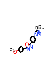 CCCCc1cn(-c2ccc(-c3nnc(-c4ccc(OC(C)C)cc4)o3)cc2)nn1